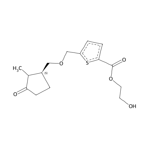 CC1C(=O)CC[C@@H]1COCc1ccc(C(=O)OCCO)s1